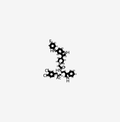 CC(=O)N(Cc1ccc(Cl)c(Cl)c1)C[C@@H](Cc1c[nH]c2ccccc12)NC(=O)CN1CCC(c2c[nH]c3ccc(Nc4ccc(F)cc4)cc23)CC1